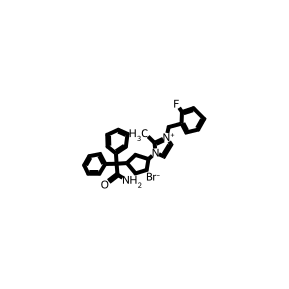 Cc1n(C2CCC(C(C(N)=O)(c3ccccc3)c3ccccc3)C2)cc[n+]1Cc1ccccc1F.[Br-]